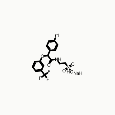 O=C(NCCS(=O)(=O)O)C(Oc1cccc(C(F)(F)F)c1)c1ccc(Cl)cc1.[NaH]